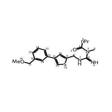 CCCC(=O)N(C)C(=N)NCc1cc(-c2cccc(COC)c2)cs1